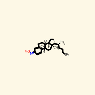 CC(C)CCC[C@@H](C)[C@H]1CC[C@H]2[C@@H]3CCC4=CC(=NO)C=C[C@]4(C)[C@H]3CC[C@]12C